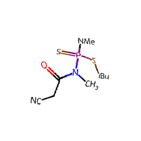 CCC(C)SP(=S)(NC)N(C)C(=O)CC#N